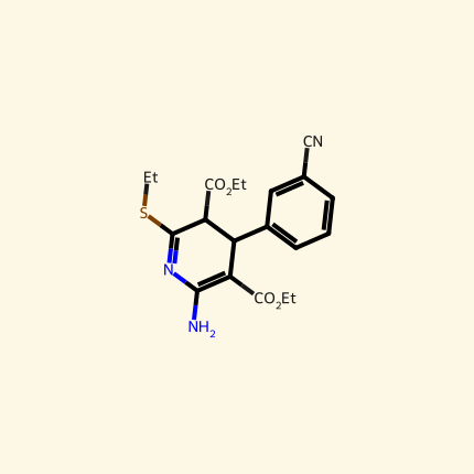 CCOC(=O)C1=C(N)N=C(SCC)C(C(=O)OCC)C1c1cccc(C#N)c1